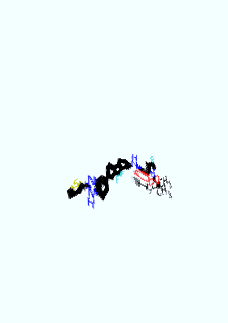 CC(C)(C)OC(=O)N1C[C@@H](F)C[C@H]1C(=O)Nc1ccc2c(c1)C(F)(F)c1cc(-c3ccc4[nH]c([C@@H]5CCCS5)nc4c3)ccc1-2